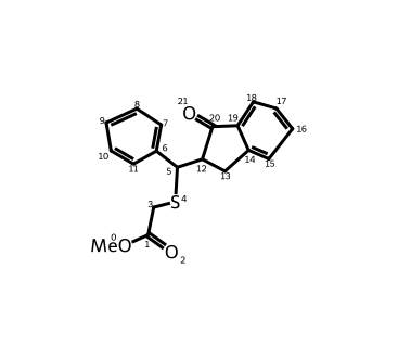 COC(=O)CSC(c1ccccc1)C1Cc2ccccc2C1=O